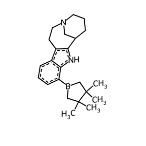 CC1(C)CB(c2cccc3c4c([nH]c23)C2CCCN(CC4)C2)CC1(C)C